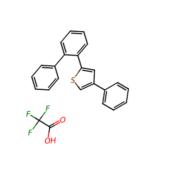 O=C(O)C(F)(F)F.c1ccc(-c2csc(-c3ccccc3-c3ccccc3)c2)cc1